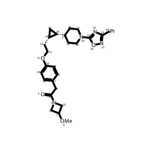 COC1CN(C(=O)Cc2ccc(OCC[C@@H]3C[C@@H]3C3CCN(c4nc(C(C)C)no4)CC3)cc2)C1